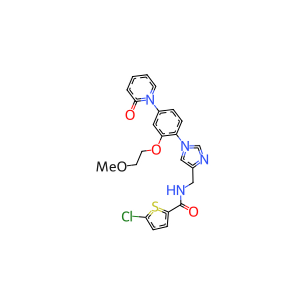 COCCOc1cc(-n2ccccc2=O)ccc1-n1cnc(CNC(=O)c2ccc(Cl)s2)c1